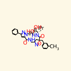 Cc1cccc(CC2(C(=O)N[C@@H](CC(C)C)B(O)O)CC(CNC(=O)c3cc(-c4ccccc4)nn3C(C)C)=NO2)c1